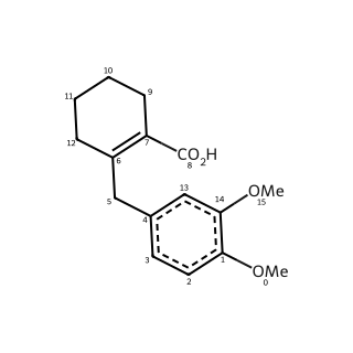 COc1ccc(CC2=C(C(=O)O)CCCC2)cc1OC